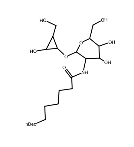 CCCCCCCCCCCCCCCC(=O)NC1C(OC2C(O)C2CO)OC(CO)C(O)C1O